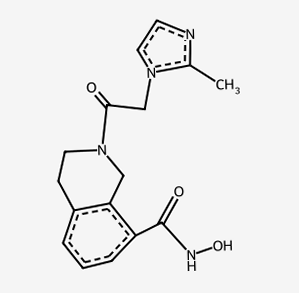 Cc1nccn1CC(=O)N1CCc2cccc(C(=O)NO)c2C1